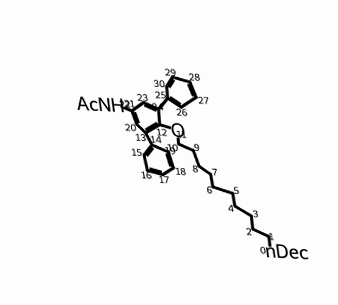 CCCCCCCCCCCCCCCCCCCCOc1c(-c2ccccc2)cc(NC(C)=O)cc1-c1ccccc1